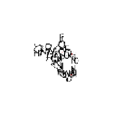 Cc1ccc(NC(=O)NC(Cc2cc(F)cc(F)c2)C(=O)N[C@@H]2C(=O)N3CCC[C@H]3C(=O)N3CCOC[C@H]3C(=O)N[C@@H](C)C(=O)N3C[C@@H](C)C[C@H]3C(=O)O[C@H]2C)cc1